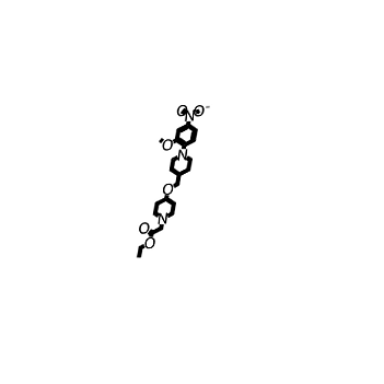 CCOC(=O)CN1CCC(OCC2CCN(c3ccc([N+](=O)[O-])cc3OC)CC2)CC1